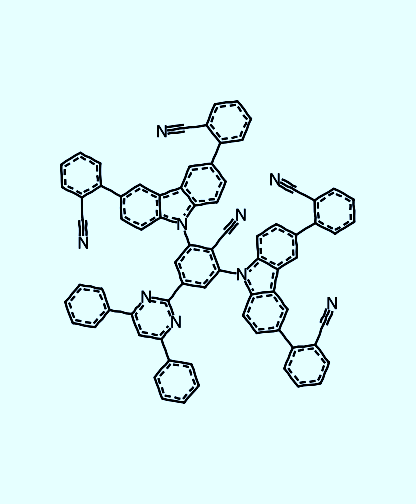 N#Cc1ccccc1-c1ccc2c(c1)c1cc(-c3ccccc3C#N)ccc1n2-c1cc(-c2nc(-c3ccccc3)cc(-c3ccccc3)n2)cc(-n2c3ccc(-c4ccccc4C#N)cc3c3cc(-c4ccccc4C#N)ccc32)c1C#N